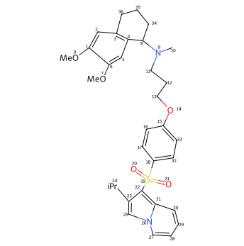 COc1cc2c(cc1OC)C(N(C)CCCOc1ccc(S(=O)(=O)c3c(C(C)C)cn4ccccc34)cc1)CCC2